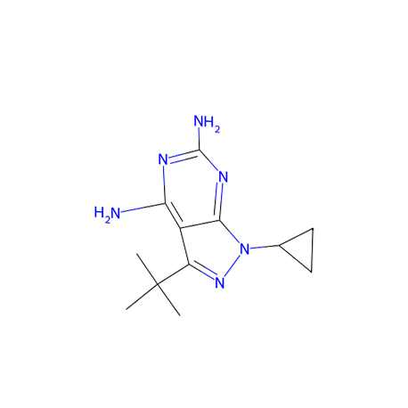 CC(C)(C)c1nn(C2CC2)c2nc(N)nc(N)c12